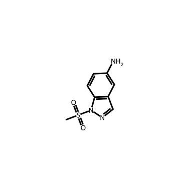 CS(=O)(=O)n1ncc2cc(N)ccc21